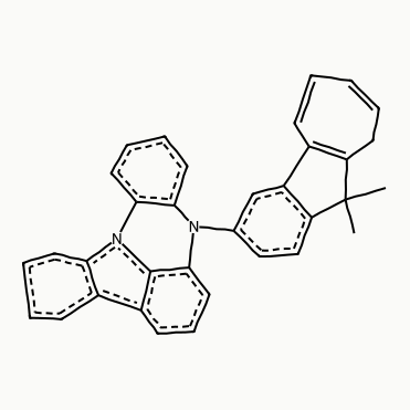 CC1(C)C2=C(C=CC=CC2)c2cc(N3c4ccccc4-n4c5ccccc5c5cccc3c54)ccc21